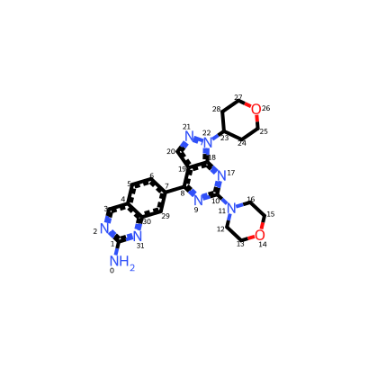 Nc1ncc2ccc(-c3nc(N4CCOCC4)nc4c3cnn4C3CCOCC3)cc2n1